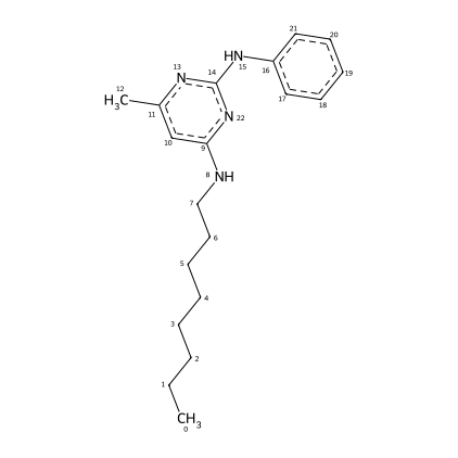 CCCCCCCCNc1cc(C)nc(Nc2ccccc2)n1